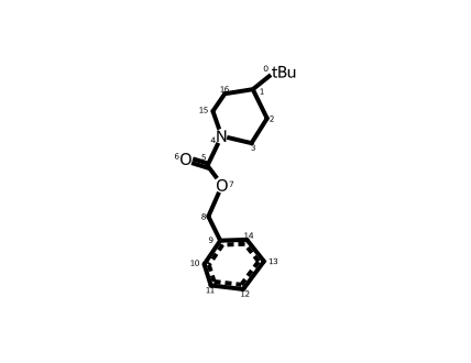 CC(C)(C)C1CCN(C(=O)OCc2ccccc2)CC1